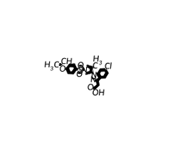 CC(C)Oc1ccc(S(=O)(=O)N2C[C@@H](C)[C@@H](n3nc(CC(=O)O)c4ccc(Cl)cc43)C2)cc1